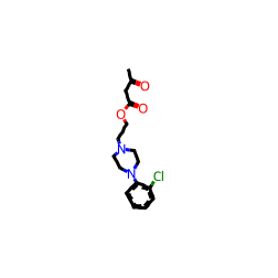 CC(=O)CC(=O)OCCN1CCN(c2ccccc2Cl)CC1